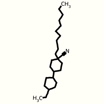 CCCCCCCCCCC1(C#N)CCC(C2CCC(CC)CC2)CC1